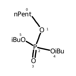 CCCCCOP(=O)(OCC(C)C)OCC(C)C